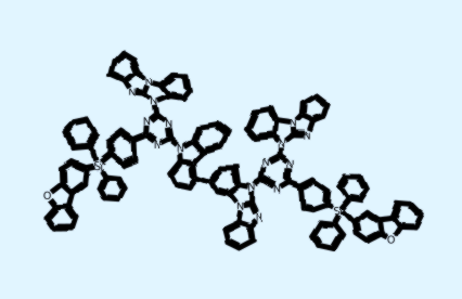 c1ccc([Si](c2ccccc2)(c2ccc(-c3nc(-n4c5ccccc5c5c(-c6ccc7c(c6)n6c8ccccc8nc6n7-c6nc(-c7ccc([Si](c8ccccc8)(c8ccccc8)c8ccc9oc%10ccccc%10c9c8)cc7)nc(-n7c8ccccc8n8c9ccccc9nc78)n6)cccc54)nc(-n4c5ccccc5n5c6ccccc6nc45)n3)cc2)c2ccc3oc4ccccc4c3c2)cc1